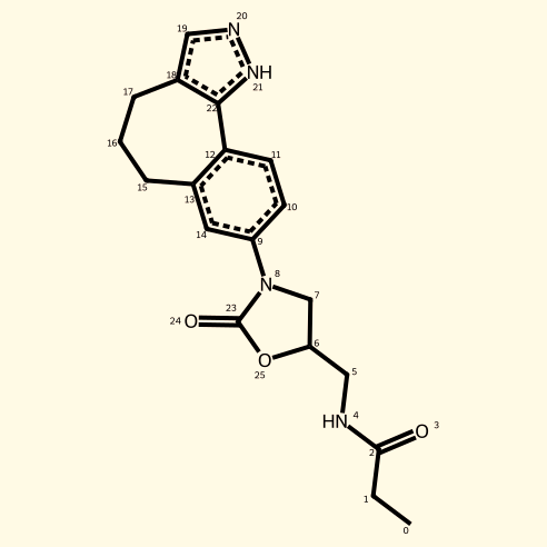 CCC(=O)NCC1CN(c2ccc3c(c2)CCCc2cn[nH]c2-3)C(=O)O1